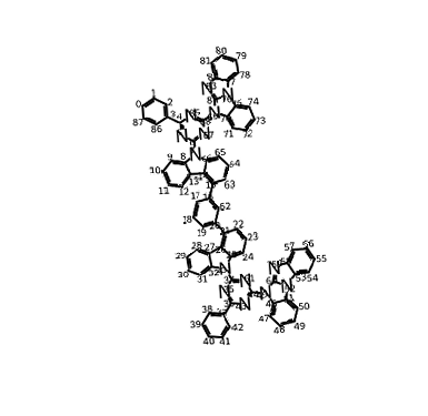 c1ccc(-c2nc(-n3c4ccccc4c4c(-c5cccc(-c6cccc7c6c6ccccc6n7-c6nc(-c7ccccc7)nc(-n7c8ccccc8n8c9ccccc9nc78)n6)c5)cccc43)nc(-n3c4ccccc4n4c5ccccc5nc34)n2)cc1